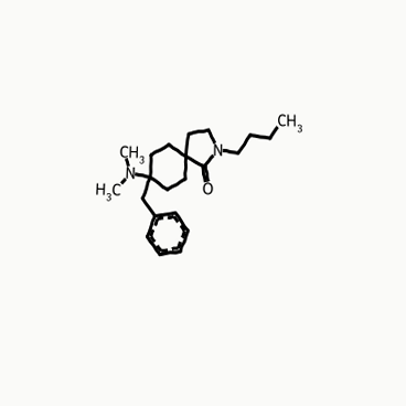 CCCCN1CCC2(CCC(Cc3ccccc3)(N(C)C)CC2)C1=O